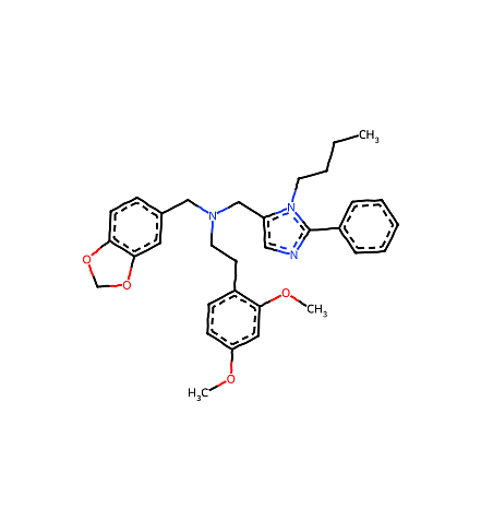 CCCCn1c(CN(CCc2ccc(OC)cc2OC)Cc2ccc3c(c2)OCO3)cnc1-c1ccccc1